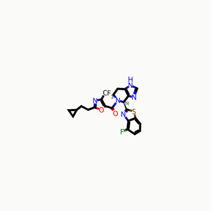 O=C(c1oc(CCC2CC2)nc1C(F)(F)F)N1CCc2[nH]cnc2[C@H]1c1nc2c(F)cccc2s1